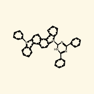 c1ccc(C2=NC(n3c4ccccc4c4c5ccc6c(c5ccc43)c3ccccc3n6-c3ccccc3)NC(c3ccccc3)=N2)cc1